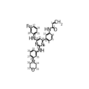 C=CC(=O)Nc1cccc(-c2cc(Nc3cccc(F)c3)nc(Nc3cccc(N4CCOCC4)c3)n2)c1